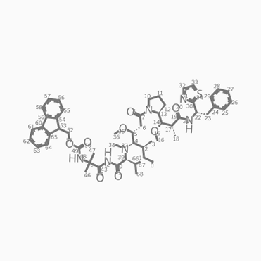 CC[C@H](C)[C@@H]([C@@H](CC(=O)N1CCC[C@H]1[C@H](OC)[C@@H](C)C(=O)N[C@@H](Cc1ccccc1)c1nccs1)OC)N(C)[C@H](C(=O)NC(=O)C(C)(C)NC(=O)OCC1c2ccccc2-c2ccccc21)C(C)C